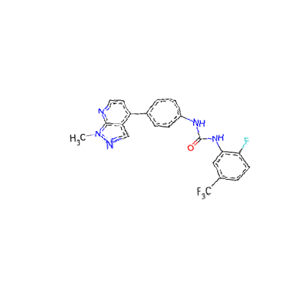 Cn1ncc2c(-c3ccc(NC(=O)Nc4cc(C(F)(F)F)ccc4F)cc3)ccnc21